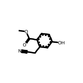 COC(=O)c1ccc(O)cc1CC#N